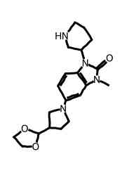 Cn1c(=O)n(C2CCCNC2)c2ccc(N3CCC(C4OCCO4)C3)cc21